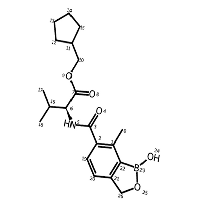 Cc1c(C(=O)N[C@H](C(=O)OCC2CCCC2)C(C)C)ccc2c1B(O)OC2